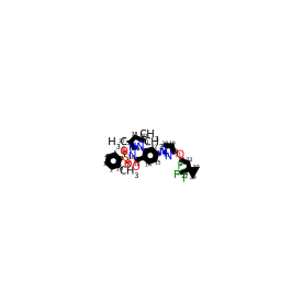 Cc1ccccc1S(=O)(=O)NC(=O)c1ccc(-n2ccc(OCCC3(C(F)(F)F)CC3)n2)cc1N1C[C@@H](C)CC1(C)C